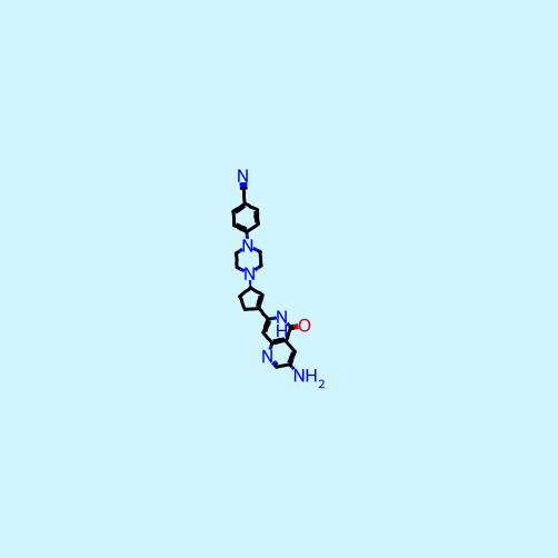 N#Cc1ccc(N2CCN([C@H]3C=C(c4cc5ncc(N)cc5c(=O)[nH]4)CC3)CC2)cc1